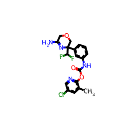 Cc1cc(Cl)cnc1OC(=O)Nc1cccc(C2(C(F)F)COCC(N)=N2)c1